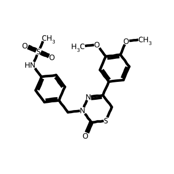 COc1ccc(C2=NN(Cc3ccc(NS(C)(=O)=O)cc3)C(=O)SC2)cc1OC